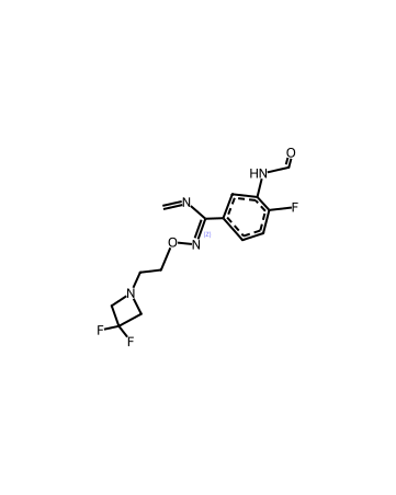 C=N/C(=N\OCCN1CC(F)(F)C1)c1ccc(F)c(NC=O)c1